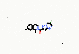 Cc1ccc2c(c1)C(C)N(C(=O)c1cc3ncc(Cl)cn3n1)CC2